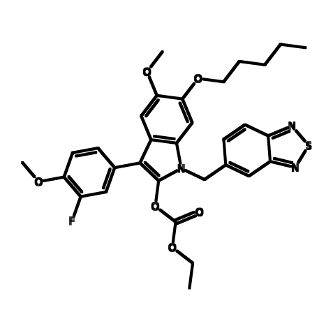 CCCCCOc1cc2c(cc1OC)c(-c1ccc(OC)c(F)c1)c(OC(=O)OCC)n2Cc1ccc2nsnc2c1